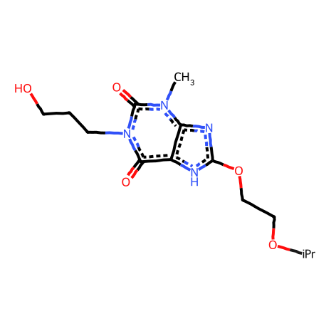 CC(C)OCCOc1nc2c([nH]1)c(=O)n(CCCO)c(=O)n2C